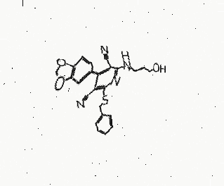 N#Cc1c(NCCCO)nc(SCc2ccccc2)c(C#N)c1-c1ccc2c(c1)OCO2